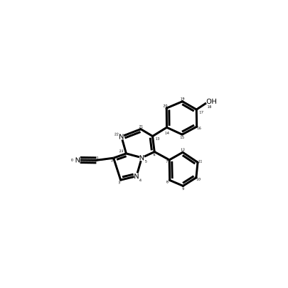 N#Cc1cnn2c(-c3ccccc3)c(-c3ccc(O)cc3)cnc12